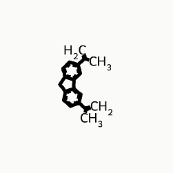 C=C(C)c1ccc2c(c1)-c1cc(C(=C)C)ccc1C2